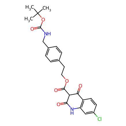 CC(C)(C)OC(=O)NCc1ccc(CCOC(=O)C2C(=O)Nc3cc(Cl)ccc3C2=O)cc1